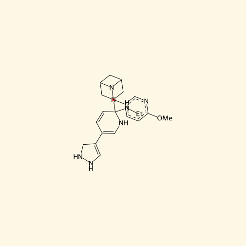 CCNC1(N2CC3CC(C2)N3Cc2ccc(OC)nc2)C=CC(C2=CNNC2)=CN1